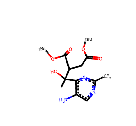 CC(C)(C)OC(=O)CC(C(=O)OC(C)(C)C)C(C)(O)c1nc(C(F)(F)F)ncc1N